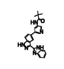 CC(C)(C)C(=O)Nc1cncc(-c2ccc3[nH]nc(-c4nc5ccccc5[nH]4)c3c2)c1